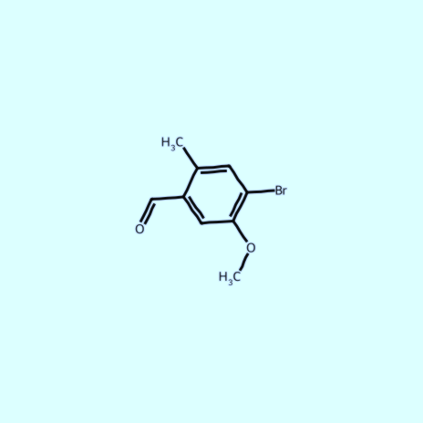 COc1cc(C=O)c(C)cc1Br